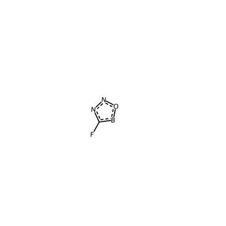 Fc1bonn1